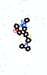 c1ccc2c(c1)nc1n(-c3cccc4oc5ccc(-c6ccc7sc8ccc(-n9c%10ccccc%10c%10ccccc%109)cc8c7c6)cc5c34)c3ccccc3n21